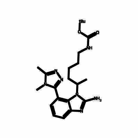 Cc1nnc(-c2cccc3nc(N)n(C(C)CCCCNC(=O)OC(C)(C)C)c23)n1C